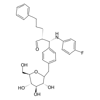 O=C[C@H](CCCc1ccccc1)[C@H](Nc1ccc(F)cc1)c1ccc(CC2O[C@H](CO)[C@@H](O)[C@H](O)[C@H]2O)cc1